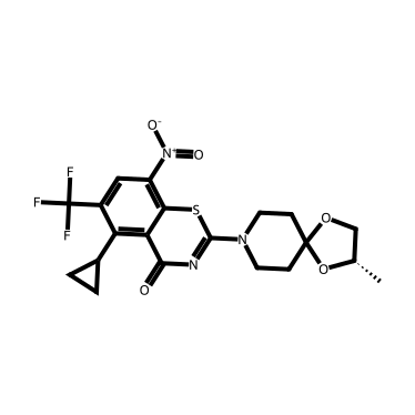 C[C@H]1COC2(CCN(c3nc(=O)c4c(C5CC5)c(C(F)(F)F)cc([N+](=O)[O-])c4s3)CC2)O1